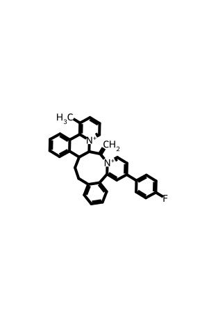 C=C1C2C(CCc3ccccc3-c3cc(-c4ccc(F)cc4)cc[n+]31)c1ccccc1-c1c(C)ccc[n+]12